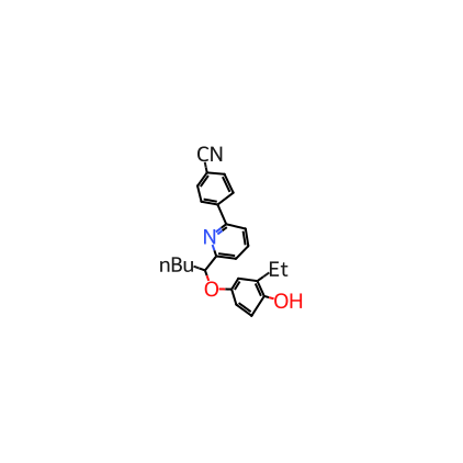 CCCCC(Oc1ccc(O)c(CC)c1)c1cccc(-c2ccc(C#N)cc2)n1